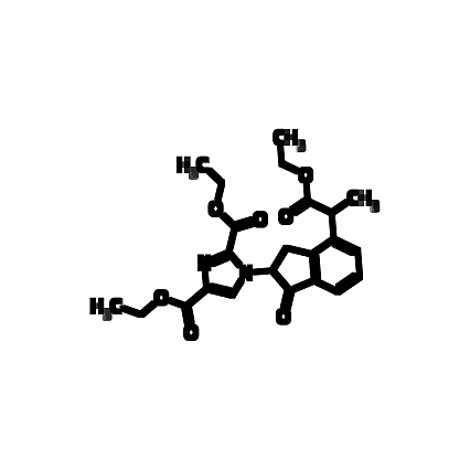 CCOC(=O)c1cn(C2Cc3c(cccc3C(C)C(=O)OCC)C2=O)c(C(=O)OCC)n1